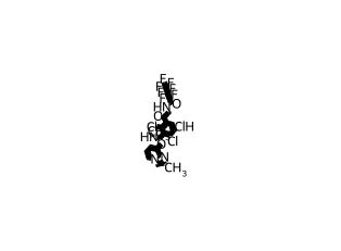 CNC(Oc1cccn2cc(C)nc12)c1c(Cl)ccc(C(=O)CNC(=O)C(F)(F)C(F)(F)C(F)(F)F)c1Cl.Cl